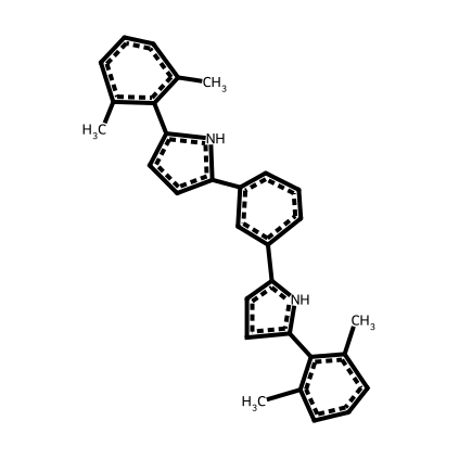 Cc1cccc(C)c1-c1ccc(-c2cccc(-c3ccc(-c4c(C)cccc4C)[nH]3)c2)[nH]1